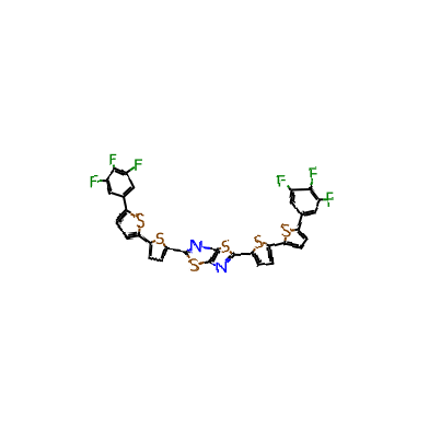 Fc1cc(-c2ccc(-c3ccc(-c4nc5sc(-c6ccc(-c7ccc(-c8cc(F)c(F)c(F)c8)s7)s6)nc5s4)s3)s2)cc(F)c1F